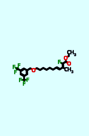 CCOC(=O)C(F)=C(C)C=CCCCCCCOCc1cc(C(F)(F)F)cc(C(F)(F)F)c1